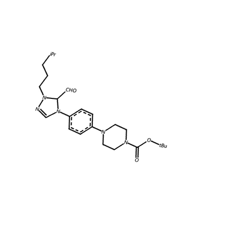 CC(C)CCCN1N=CN(c2ccc(N3CCN(C(=O)OC(C)(C)C)CC3)cc2)C1C=O